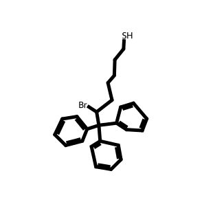 SCCCCCC(Br)C(c1ccccc1)(c1ccccc1)c1ccccc1